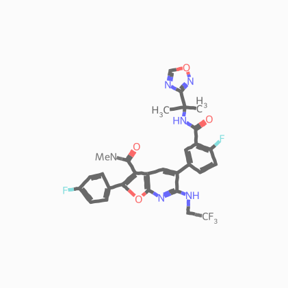 CNC(=O)c1c(-c2ccc(F)cc2)oc2nc(NCC(F)(F)F)c(-c3ccc(F)c(C(=O)NC(C)(C)c4ncon4)c3)cc12